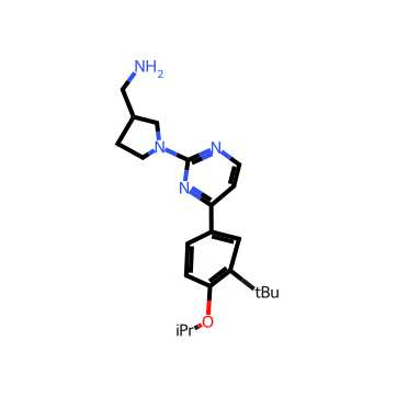 CC(C)Oc1ccc(-c2ccnc(N3CCC(CN)C3)n2)cc1C(C)(C)C